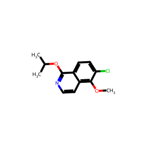 COc1c(Cl)ccc2c(OC(C)C)nccc12